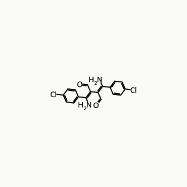 N/C(=C(C=O)\C(C=O)=C(/N)c1ccc(Cl)cc1)c1ccc(Cl)cc1